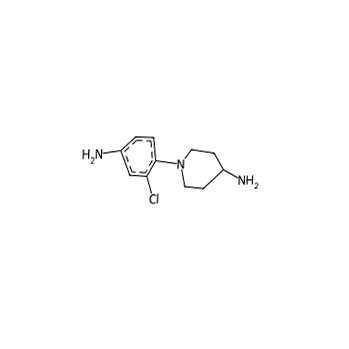 Nc1ccc(N2CCC(N)CC2)c(Cl)c1